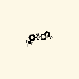 O=C1CCC2CN(S(=O)(=O)c3cccc(C(F)(F)F)c3)CCN12